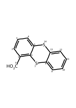 O=C(O)c1cccc2c1Sc1ccccc1S2